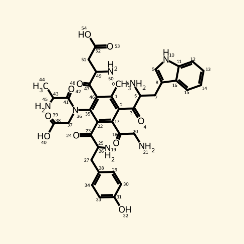 Cc1c(C(=O)C(N)Cc2c[nH]c3ccccc23)c(C(=O)CN)c(C(=O)C(N)Cc2ccc(O)cc2)c(N(CC(=O)O)C(=O)C(C)N)c1C(=O)C(N)CC(=O)O